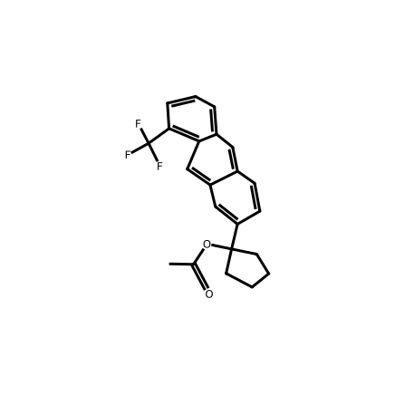 CC(=O)OC1(c2ccc3cc4cccc(C(F)(F)F)c4cc3c2)CCCC1